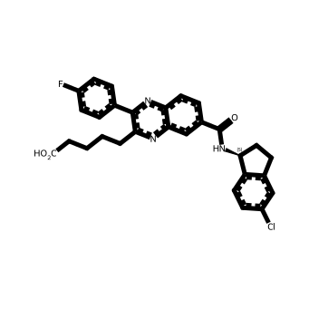 O=C(O)CCCCc1nc2cc(C(=O)N[C@H]3CCc4cc(Cl)ccc43)ccc2nc1-c1ccc(F)cc1